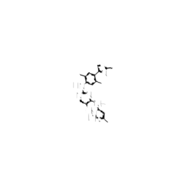 Cc1cc(Nc2nc(Nc3cc(C)c(-c4csc(C)n4)cc3C)ncc2Cl)n[nH]1